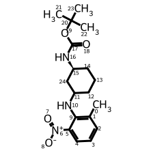 Cc1cccc([N+](=O)[O-])c1NC1CCC[C@H](NC(=O)OC(C)(C)C)C1